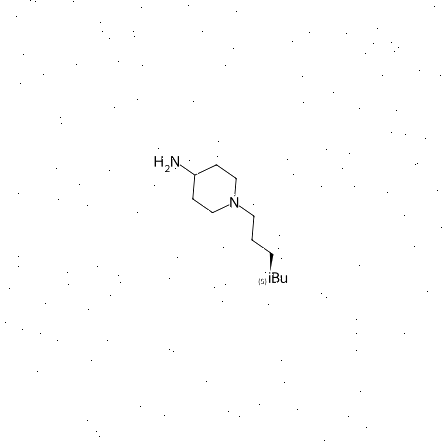 CC[C@H](C)CCCN1CCC(N)CC1